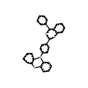 c1ccc(-c2nc(-c3ccc(N4c5ccccc5Oc5ccccc54)cc3)nc3ccccc23)cc1